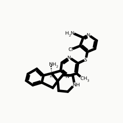 Cc1nc([C@]2(N)c3ccccc3CC23CCNCC3)cnc1Sc1ccnc(N)c1Cl